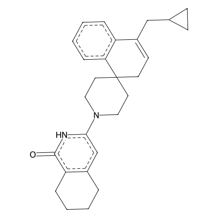 O=c1[nH]c(N2CCC3(CC=C(CC4CC4)c4ccccc43)CC2)cc2c1CCCC2